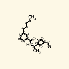 CCCCCc1cc(C(=O)NC(C)c2ncc(C=O)s2)ncn1